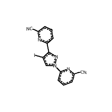 N#Cc1cccc(-c2nn(-c3cccc(C#N)n3)cc2I)n1